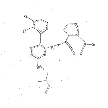 CN(C)C=O.Nc1nnc(-c2cccc(Cl)c2Cl)c(N)n1.O=C(O)c1ccccc1C(=O)O